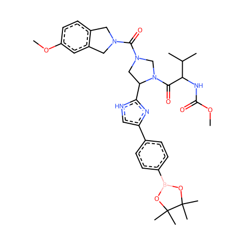 COC(=O)NC(C(=O)N1CN(C(=O)N2Cc3ccc(OC)cc3C2)CC1c1nc(-c2ccc(B3OC(C)(C)C(C)(C)O3)cc2)c[nH]1)C(C)C